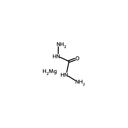 NNC(=O)NN.[MgH2]